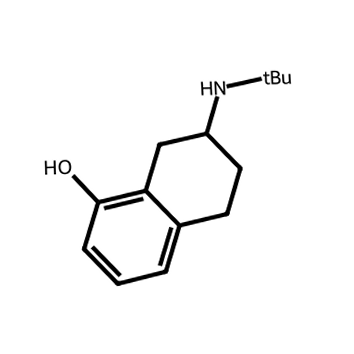 CC(C)(C)NC1CCc2cccc(O)c2C1